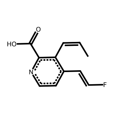 C/C=C\c1c(/C=C/F)ccnc1C(=O)O